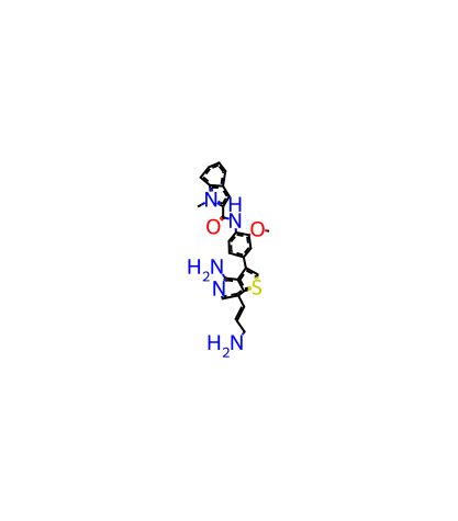 COc1cc(-c2csc3c(C=CCN)cnc(N)c23)ccc1NC(=O)c1cc2ccccc2n1C